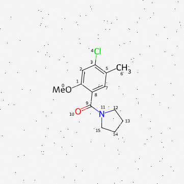 COc1cc(Cl)c(C)cc1C(=O)N1CCCC1